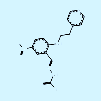 NC(=S)N/N=C/c1cc([N+](=O)[O-])ccc1NCCc1ccncc1